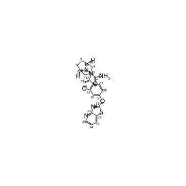 NC(=O)N1C[C@H]2CC[C@@H](C1)N2Cc1coc2cc(Oc3nc4ncccc4s3)ccc12